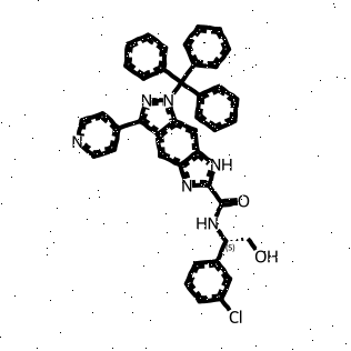 O=C(N[C@H](CO)c1cccc(Cl)c1)c1nc2cc3c(-c4ccncc4)nn(C(c4ccccc4)(c4ccccc4)c4ccccc4)c3cc2[nH]1